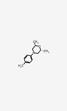 Cc1ccc(N2C[C@@H](C)O[C@H](C)C2)cc1